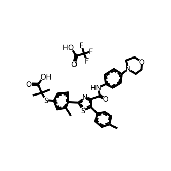 Cc1ccc(-c2sc(-c3ccc(SC(C)(C)C(=O)O)cc3C)nc2C(=O)Nc2ccc(N3CCOCC3)cc2)cc1.O=C(O)C(F)(F)F